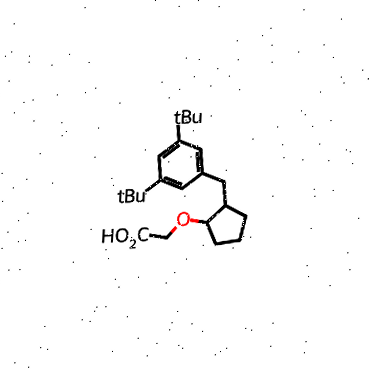 CC(C)(C)c1cc(CC2CCCC2OCC(=O)O)cc(C(C)(C)C)c1